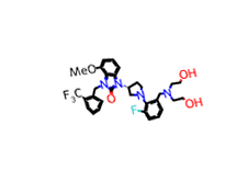 COc1cccc2c1n(Cc1ccccc1C(F)(F)F)c(=O)n2[C@@H]1CCN(c2c(F)cccc2CN(CCO)CCO)C1